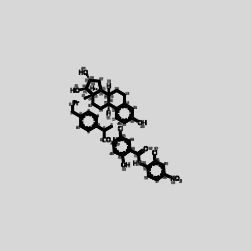 CC(C)Cc1ccc(C(C)C(=O)O)cc1.C[C@]12CC[C@@H]3c4ccc(O)cc4CC[C@H]3[C@@H]1C[C@@H](O)[C@@H]2O.O=C(Nc1ccc([N+](=O)[O-])cc1Cl)c1cc(Cl)ccc1O